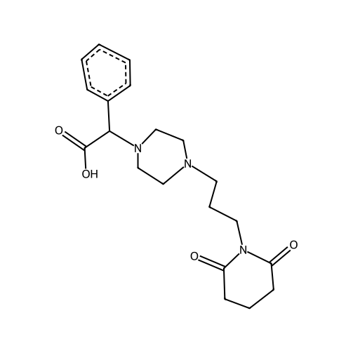 O=C(O)C(c1ccccc1)N1CCN(CCCN2C(=O)CCCC2=O)CC1